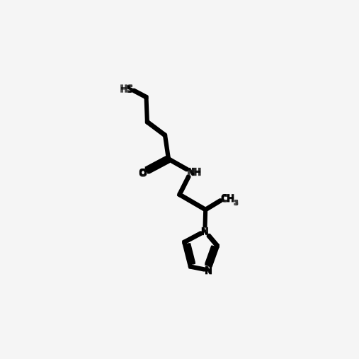 CC(CNC(=O)CCCS)n1ccnc1